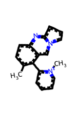 Cc1ccc2nc3cccn3cc2c1-c1cccc[n+]1C